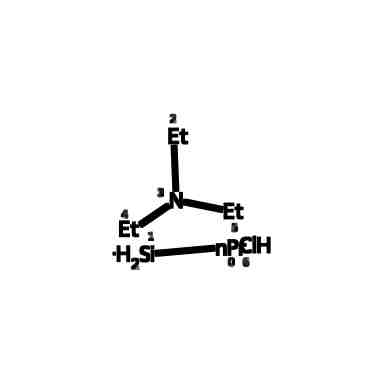 CCC[SiH2].CCN(CC)CC.Cl